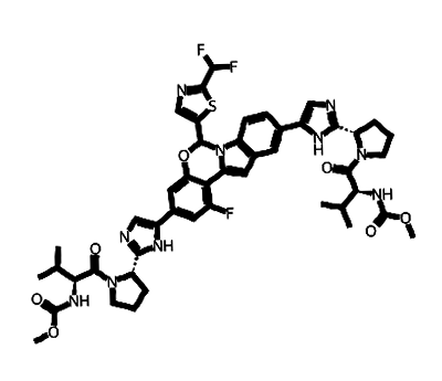 COC(=O)N[C@H](C(=O)N1CCC[C@H]1c1ncc(-c2cc(F)c3c(c2)OC(c2cnc(C(F)F)s2)n2c-3cc3cc(-c4cnc([C@@H]5CCCN5C(=O)[C@@H](NC(=O)OC)C(C)C)[nH]4)ccc32)[nH]1)C(C)C